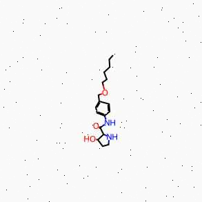 CCCCCCOCc1ccc(NC(=O)C2NCCC2O)cc1